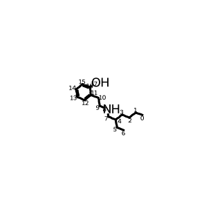 CCCCC(CC)CNCCc1ccccc1O